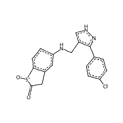 O=C1Cc2cc(NCc3c[nH]nc3-c3ccc(Cl)cc3)ccc2[S+]1[O-]